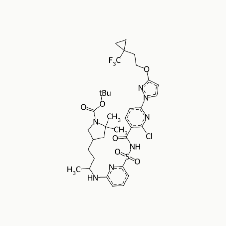 CC(CCC1CN(C(=O)OC(C)(C)C)C(C)(C)C1)Nc1cccc(S(=O)(=O)NC(=O)c2ccc(-n3ccc(OCCC4(C(F)(F)F)CC4)n3)nc2Cl)n1